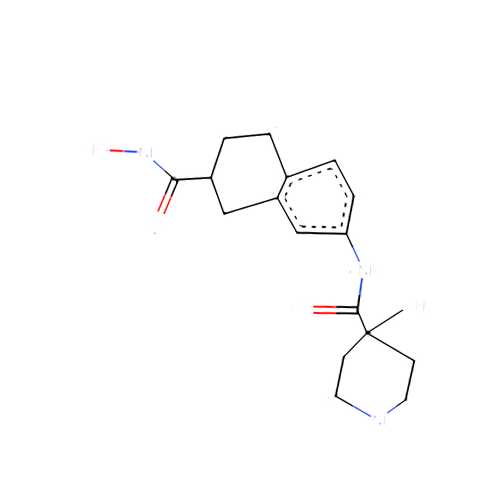 CC1(C(=O)Nc2ccc3c(c2)CC(C(=O)NO)CC3)CCNCC1